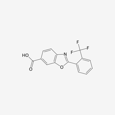 O=C(O)c1ccc2nc(-c3ccccc3C(F)(F)F)oc2c1